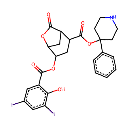 O=C(OC1CC(C(=O)OC2(c3ccccc3)CCNCC2)C2CC1OC2=O)c1cc(I)cc(I)c1O